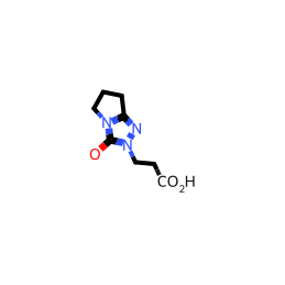 O=C(O)CCn1nc2n(c1=O)CCC2